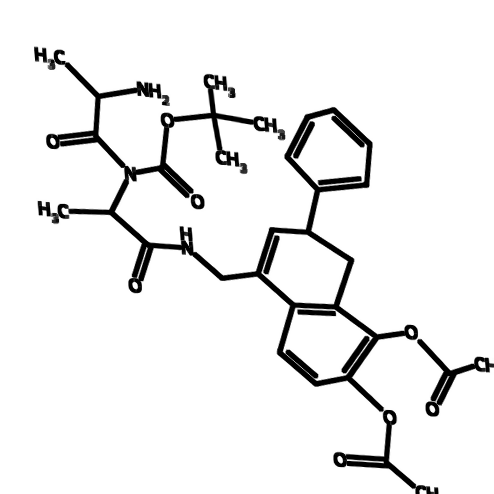 CC(=O)Oc1ccc2c(c1OC(C)=O)CC(c1ccccc1)C=C2CNC(=O)C(C)N(C(=O)OC(C)(C)C)C(=O)C(C)N